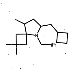 CC(C)CN1C(CC2CCC2)CC(C)C12CC(C)(C)C2